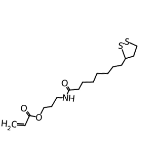 C=CC(=O)OCCCNC(=O)CCCCCCCC1CCSS1